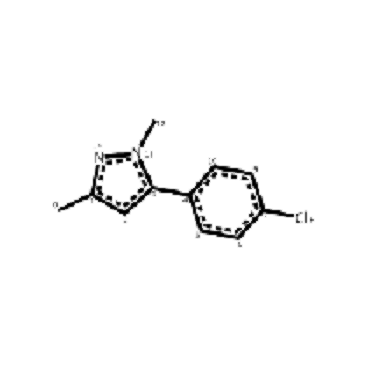 Cc1[c]c(-c2ccc(Cl)cc2)n(C)n1